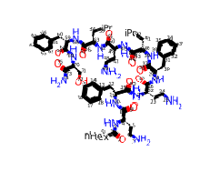 CCCCCCC(=O)N[C@@H](CCN)C(=O)N[C@@H](Cc1ccccc1)C(=O)N[C@@H](CCN)C(=O)N[C@H](Cc1ccccc1)C(=O)N[C@@H](CC(C)C)C(=O)N[C@@H](CCN)C(=O)N[C@H](CC(C)C)C(=O)N[C@@H](Cc1ccccc1)C(=O)N[C@@H](CO)C(N)=O